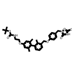 Cc1cc(OCCNC(=O)OC(C)(C)C)cc(C)c1-c1cccc(COc2ccc(Cn3oc(=O)[nH]c3=O)cc2)c1C